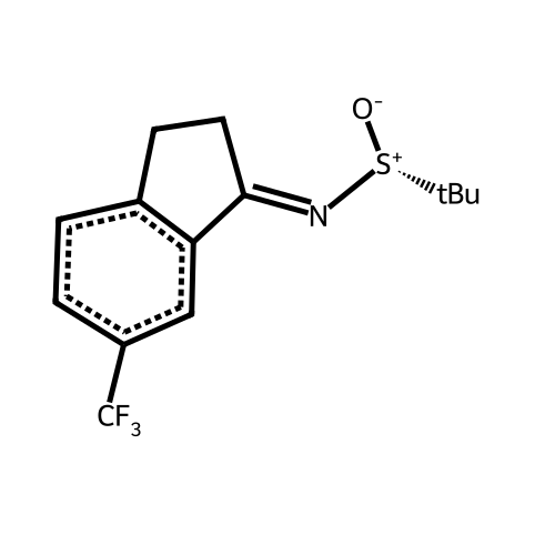 CC(C)(C)[S@@+]([O-])N=C1CCc2ccc(C(F)(F)F)cc21